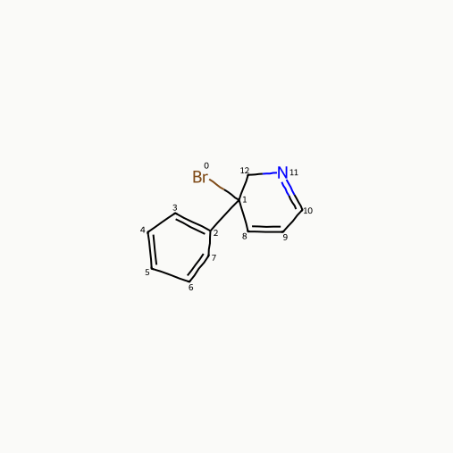 BrC1(c2ccccc2)C=CC=NC1